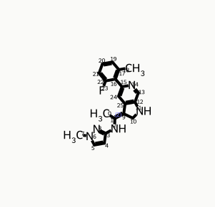 C/C(Nc1ccn(C)n1)=C1/CNc2cnc(-c3c(C)cccc3F)cc21